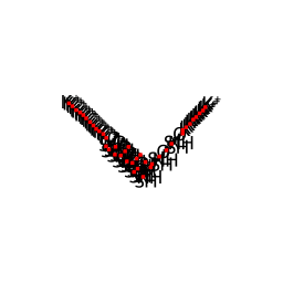 C=COCCNC(=S)S.C=COCCNC(=S)S.C=COCCNC(=S)S.C=COCCNC(=S)S.C=COCCNC(=S)S.C=COCCNC(=S)S.C=COCCNC(=S)S.C=COCCNC(=S)S.C=COCCNC(=S)S.[K+].[K+].[K+].[K+].[K+].[K+].[K+].[K+].[K+].[K+].[K+].[K+].[K+].[K+].[K+].[K+].[K+].[K+].[K+].[K+].[K+].[K+].[K+].[K+].[K+].[K+].[K+].[K+].[K+].[K+].[K+].[K+].[K+].[K+].[K+].[K+].[K+].[K+].[K+].[K+]